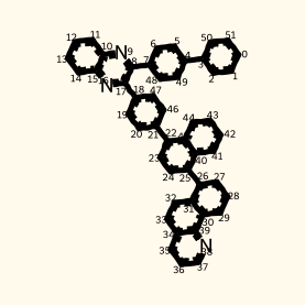 c1ccc(-c2ccc(-c3nc4ccccc4nc3-c3ccc(-c4ccc(-c5cccc6c5ccc5cccnc56)c5ccccc45)cc3)cc2)cc1